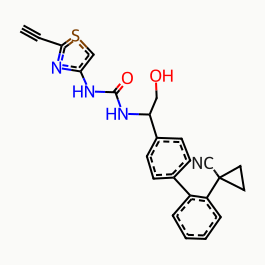 C#Cc1nc(NC(=O)NC(CO)c2ccc(-c3ccccc3C3(C#N)CC3)cc2)cs1